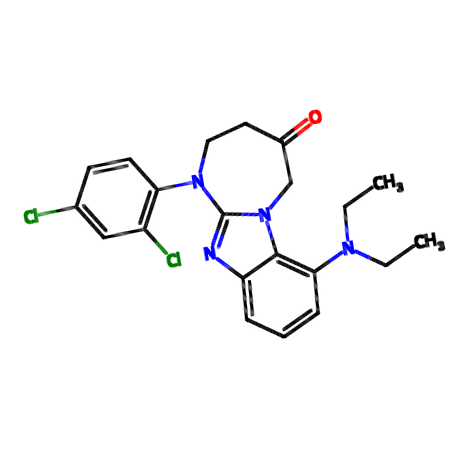 CCN(CC)c1cccc2nc3n(c12)CC(=O)CCN3c1ccc(Cl)cc1Cl